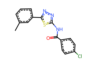 Cc1cccc(-c2nnc(NC(=O)c3ccc(Cl)cc3)s2)c1